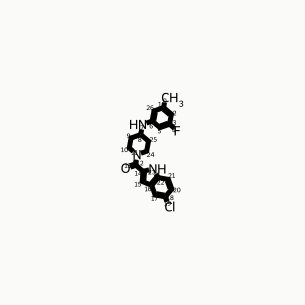 Cc1cc(F)cc(NC2CCN(C(=O)c3cc4cc(Cl)ccc4[nH]3)CC2)c1